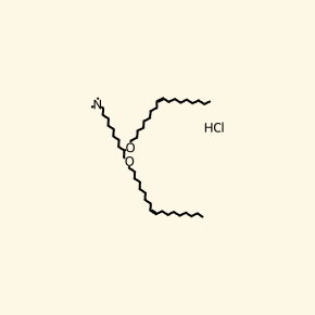 CCCCCCCC/C=C\CCCCCCCCOCC(CCCCCCCCN(C)C)OCCCCCCCC/C=C\CCCCCCCC.Cl